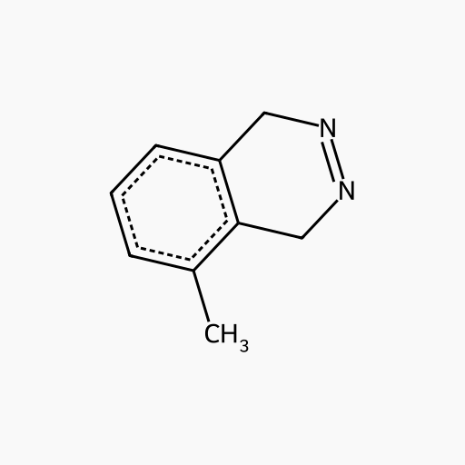 Cc1cccc2c1CN=NC2